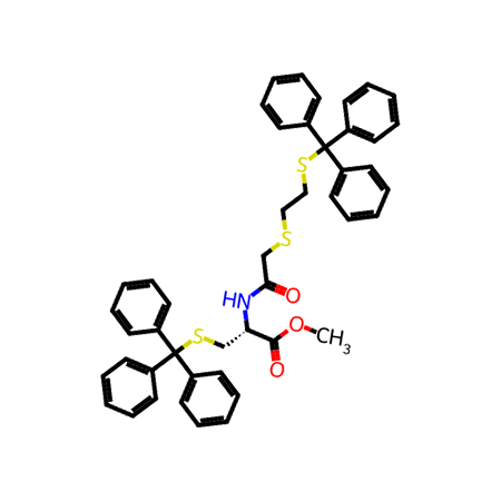 COC(=O)[C@H](CSC(c1ccccc1)(c1ccccc1)c1ccccc1)NC(=O)CSCCSC(c1ccccc1)(c1ccccc1)c1ccccc1